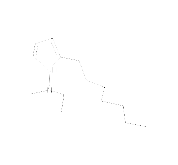 CCCCCCCC1=CC=C[SH]1N(C)CC